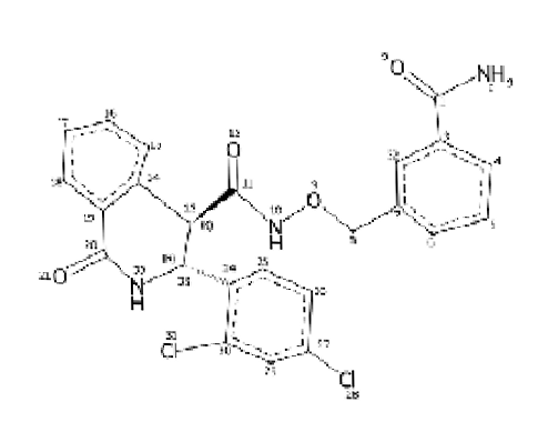 NC(=O)c1cccc(CONC(=O)[C@@H]2c3ccccc3C(=O)N[C@H]2c2ccc(Cl)cc2Cl)c1